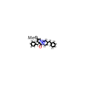 CO[C@H]1CN[C@](Cc2ccccc2)(C(=O)N2CCC(Cc3ccccc3)CC2)C1